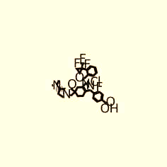 CN(C)[C@@H]1CCN(CC2(C=O)CCc3c(-c4ccc(C(=O)O)cc4F)nn(C(=O)c4c(Cl)cccc4C4(C(F)(F)F)CC4)c3C2)C1